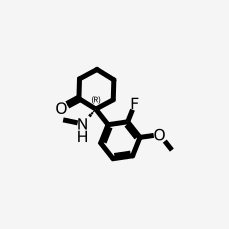 CN[C@@]1(c2cccc(OC)c2F)CCCCC1=O